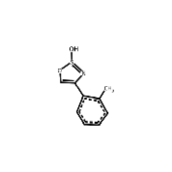 Cc1ccccc1C1=COS(O)=N1